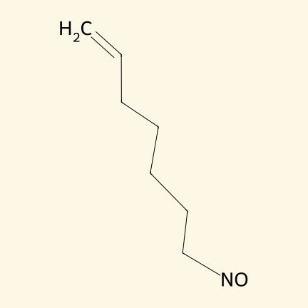 C=CCCCCCN=O